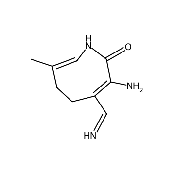 C/C1=C\NC(=O)/C(N)=C(/C=N)CC1